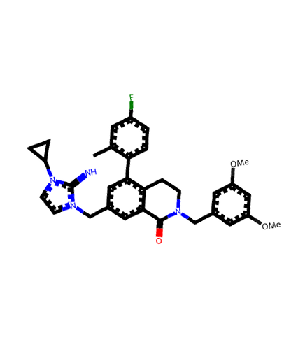 COc1cc(CN2CCc3c(cc(Cn4ccn(C5CC5)c4=N)cc3-c3ccc(F)cc3C)C2=O)cc(OC)c1